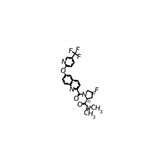 CN(C)C(=O)[C@@H]1C[C@@H](F)CN1C(=O)c1ccc2cc(Oc3ccc(C(F)(F)F)cn3)ccc2n1